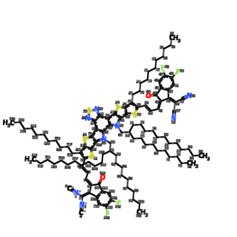 [C-]#[N+]C([N+]#[C-])=C1/C(=C/C=C/c2sc3c(sc4c5c6nsnc6c6c7sc8c(CCCCCCCCCCC)c(/C=C/C=C9\C(=O)c%10cc(F)c(F)cc%10C9=C(C#N)C#N)sc8c7n(CC(CCCCCCCCCC)CCCCCCCCCCCC)c6c5n(CC(CCCCCCCCCC)CCCCCCCCCCCC)c34)c2CCCCCCCCCCC)C(=O)c2cc(F)c(F)cc21